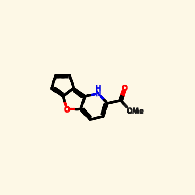 COC(=O)c1ccc2oc3cccc3c2[nH]1